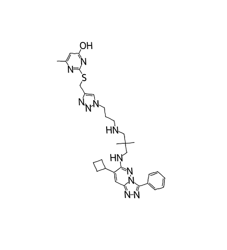 Cc1cc(O)nc(SCc2cn(CCCNCC(C)(C)CNc3nn4c(-c5ccccc5)nnc4cc3C3CCC3)nn2)n1